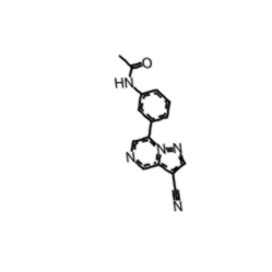 CC(=O)Nc1cccc(-c2cncc3c(C#N)cnn23)c1